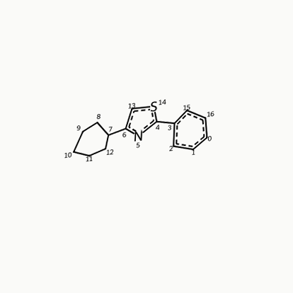 c1ccc(-c2nc(C3CCCCC3)cs2)cc1